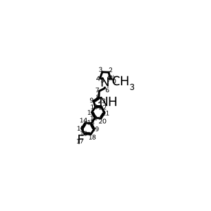 C[C@@H]1CCCN1CCc1cc2cc(-c3ccc(F)cc3)ccc2[nH]1